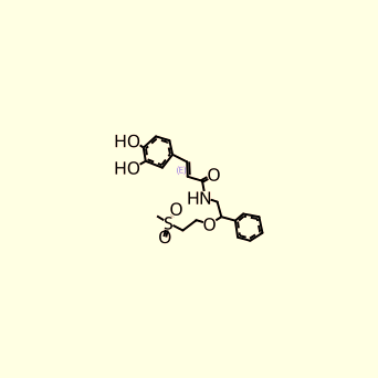 CS(=O)(=O)CCOC(CNC(=O)/C=C/c1ccc(O)c(O)c1)c1ccccc1